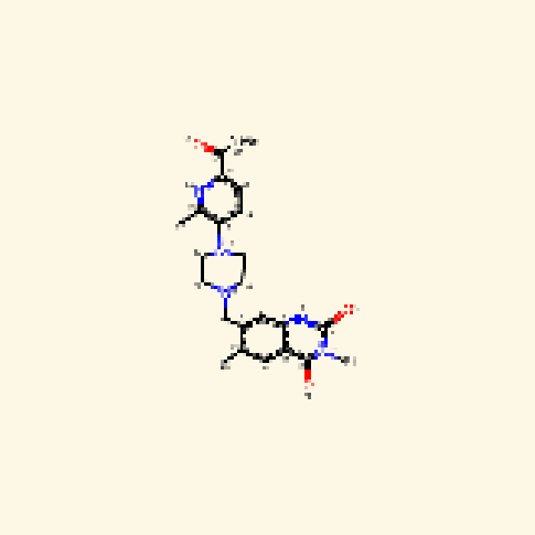 CCn1c(=O)[nH]c2cc(CN3CCN(c4ccc(C(=O)NC)nc4C)CC3)c(C)cc2c1=O